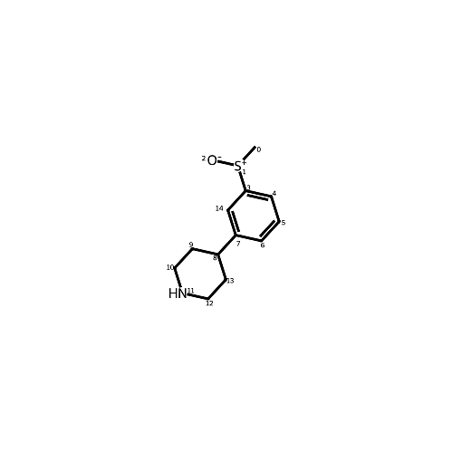 C[S+]([O-])c1cccc(C2CCNCC2)c1